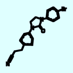 N#CCCc1ccc(N2CCN(c3ccc(Br)cc3)C2=O)cc1